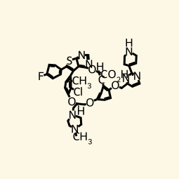 Cc1c2ccc(c1Cl)O[C@H](CN1CCN(C)CC1)COc1ccc(OCc3ccnc(C4=CCNCC4)n3)c(c1)C[C@H](C(=O)O)Oc1ncnc3sc(-c4ccc(F)cc4)c-2c13